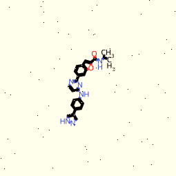 CC(C)NC(=O)c1cc2ccc(-c3nccc(Nc4ccc(-c5cn[nH]c5)cc4)n3)cc2o1